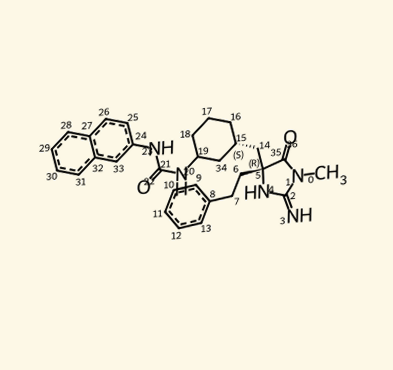 CN1C(=N)N[C@](CCc2ccccc2)(C[C@H]2CCCC(NC(=O)Nc3ccc4ccccc4c3)C2)C1=O